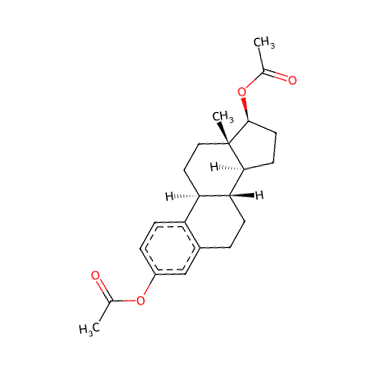 CC(=O)Oc1ccc2c(c1)CC[C@@H]1[C@@H]2CC[C@]2(C)[C@@H](OC(C)=O)CC[C@@H]12